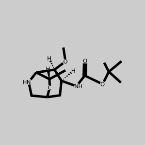 CO[C@@H]1C2NCC(C[C@H]2C)C[C@@H]1NC(=O)OC(C)(C)C